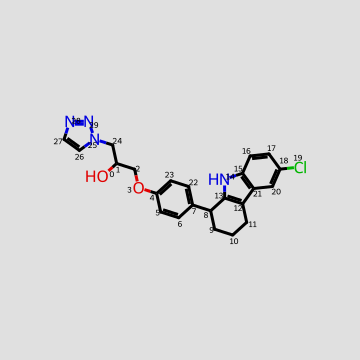 OC(COc1ccc(C2CCCc3c2[nH]c2ccc(Cl)cc32)cc1)Cn1ccnn1